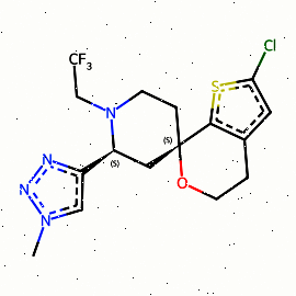 Cn1cc([C@@H]2C[C@]3(CCN2CC(F)(F)F)OCCc2cc(Cl)sc23)nn1